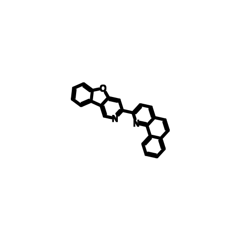 c1ccc2c(c1)ccc1ccc(-c3cc4oc5ccccc5c4cn3)nc12